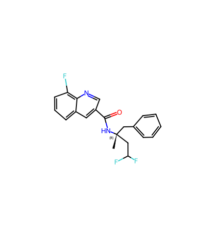 C[C@@](Cc1ccccc1)(CC(F)F)NC(=O)c1cnc2c(F)cccc2c1